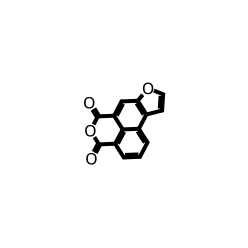 O=C1OC(=O)c2cc3occc3c3cccc1c23